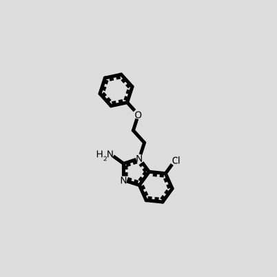 Nc1nc2cccc(Cl)c2n1CCOc1ccccc1